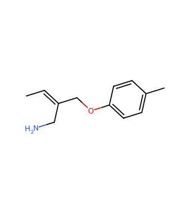 C/C=C(\CN)COc1ccc(C)cc1